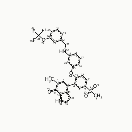 Cn1cc(-c2cc(S(C)(=O)=O)ccc2Oc2cccc(NCc3cccc(OC(F)(F)F)c3)c2)c2cc[nH]c2c1=O